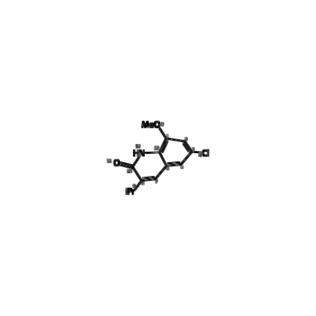 COc1cc(Cl)cc2cc(C(C)C)c(=O)[nH]c12